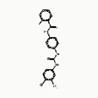 O=C(Nc1ccc(NC(=S)Nc2ccc(Cl)c(C(F)(F)F)c2)cc1)c1ccccc1F